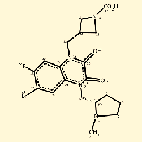 CN1CCC[C@H]1Cn1c(=O)c(=O)n(CC2CN(C(=O)O)C2)c2cc(F)c(Br)cc21